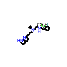 O=C(Cc1cccc(F)c1Cl)N[C@@H](CCN(CCCCc1ccc2c(n1)NCCC2)C1CC1)C(=O)O